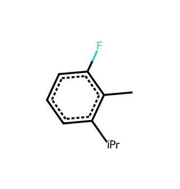 [CH2]C(C)c1cccc(F)c1C